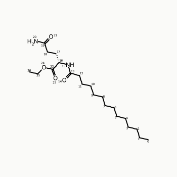 CCCCCCCCCCCCCC(=O)N[C@@H](CCC(N)=O)C(=O)OCC